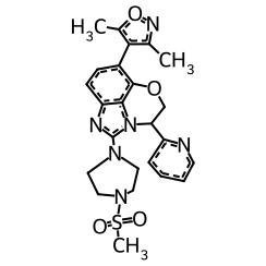 Cc1noc(C)c1-c1ccc2nc(N3CCN(S(C)(=O)=O)CC3)n3c2c1OCC3c1ccccn1